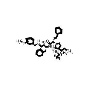 CC[C@H](C)[C@@]1(NC(=O)C(F)(F)F)CCN([C@@H](CCc2ccccc2)C(=O)N[C@@H](Cc2ccccc2)[C@H](O)CNCc2cccc(OC)c2)C1=O